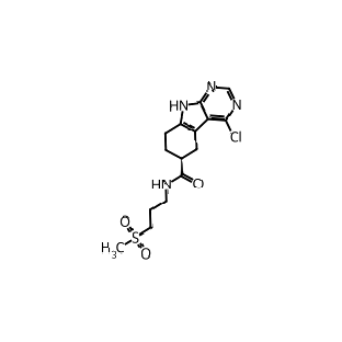 CS(=O)(=O)CCCNC(=O)[C@H]1CCc2[nH]c3ncnc(Cl)c3c2C1